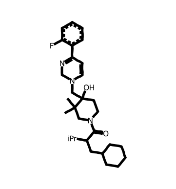 CC(C)C(CC1CCCCC1)C(=O)N1CCC(O)(CN2C=CC(c3ccccc3F)=NC2)C(C)(C)C1